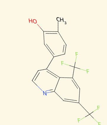 Cc1ccc(-c2ccnc3cc(C(F)(F)F)cc(C(F)(F)F)c23)cc1O